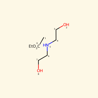 CCOC(C)=O.OCCNCCO